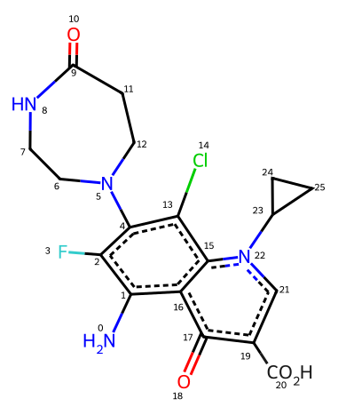 Nc1c(F)c(N2CCNC(=O)CC2)c(Cl)c2c1c(=O)c(C(=O)O)cn2C1CC1